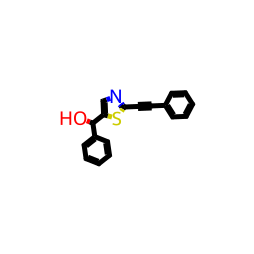 OC(c1ccccc1)c1cnc(C#Cc2ccccc2)s1